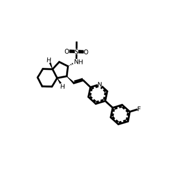 CS(=O)(=O)N[C@H]1C[C@H]2CCCC[C@H]2[C@@H]1C=Cc1ccc(-c2cccc(F)c2)cn1